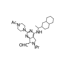 CC(=O)N1CCN(c2nc(NC(C)C3CCC4CCCCC4C3)c3c(n2)[C@H](C=O)N(C(C)C)C3)CC1